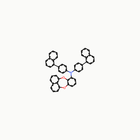 c1cc2c(c(N(c3ccc(-c4cccc5ccccc45)cc3)c3ccc(-c4cccc5ccccc45)cc3)c1)Oc1cccc3cccc(c13)O2